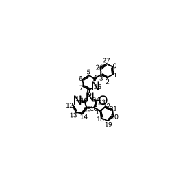 c1ccc(-c2cccc(-n3c4ncccc4c4c5ccccc5oc43)n2)cc1